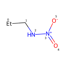 CCCN[N+](=O)[O-]